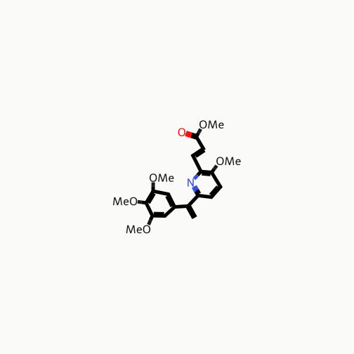 C=C(c1cc(OC)c(OC)c(OC)c1)c1ccc(OC)c(/C=C/C(=O)OC)n1